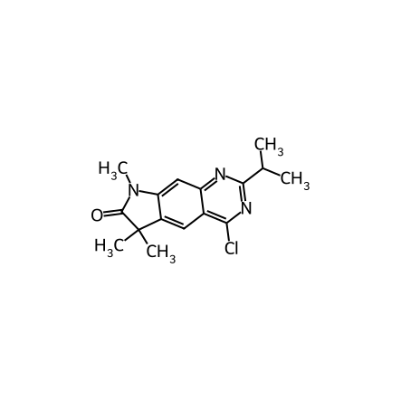 CC(C)c1nc(Cl)c2cc3c(cc2n1)N(C)C(=O)C3(C)C